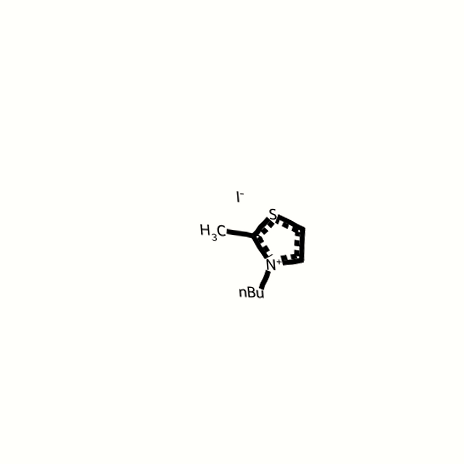 CCCC[n+]1ccsc1C.[I-]